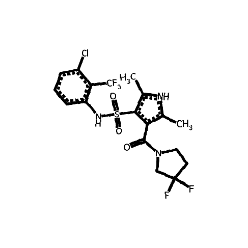 Cc1[nH]c(C)c(S(=O)(=O)Nc2cccc(Cl)c2C(F)(F)F)c1C(=O)N1CCC(F)(F)C1